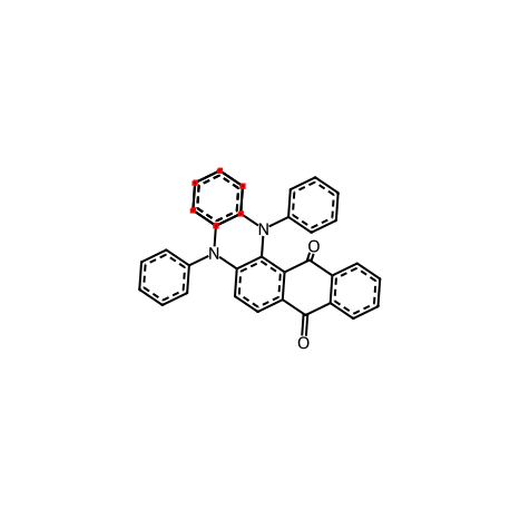 O=C1c2ccccc2C(=O)c2c1ccc(N(c1ccccc1)c1ccccc1)c2N(c1ccccc1)c1ccccc1